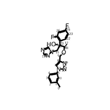 Cc1cccc(-n2cc(CO[C@H](C)[C@](O)(Cn3cncn3)c3ccc(F)cc3F)nn2)c1